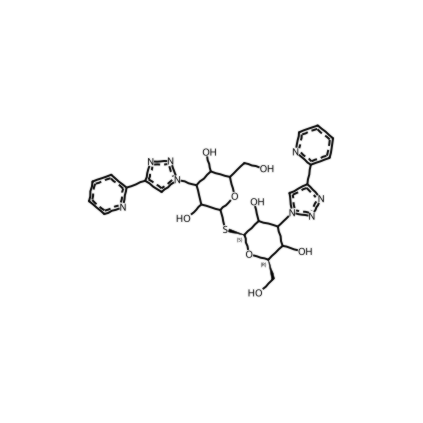 OCC1OC(S[C@@H]2O[C@H](CO)C(O)C(n3cc(-c4ccccn4)nn3)C2O)C(O)C(n2cc(-c3ccccn3)nn2)C1O